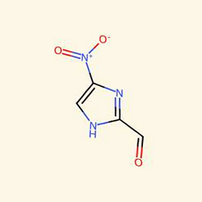 O=Cc1nc([N+](=O)[O-])c[nH]1